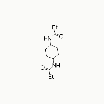 CCC(=O)NC1CCC(NC(=O)CC)CC1